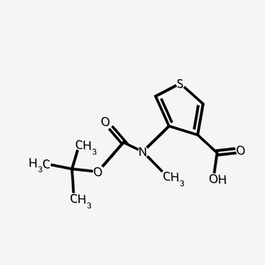 CN(C(=O)OC(C)(C)C)c1cscc1C(=O)O